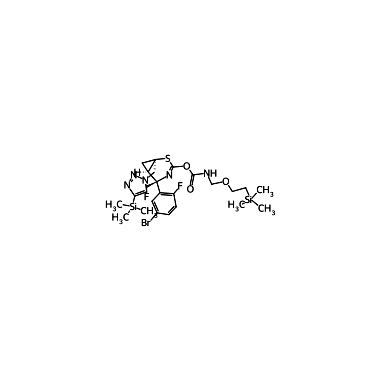 C[Si](C)(C)CCOCNC(=O)OC1=N[C@](CF)(c2cc(Br)ccc2F)[C@H]2C[C@@]2(Cn2cc([Si](C)(C)C)nn2)S1